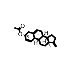 C=C1CC[C@H]2[C@@H]3CC=C4C[C@@H](OC(C)=O)C=C[C@]4(C)[C@H]3CC[C@]12C